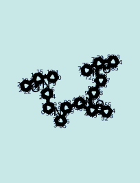 c1cc(-c2ccc(-n3c4ccccc4c4ccc5c6ccccc6oc5c43)cc2)cc(-n2c3ccccc3c3cc(-c4ccc5c(c4)c4ccc6c7ccccc7oc6c4n5-c4ccc(-c5cccc(-n6c7ccccc7c7ccc8c9ccccc9oc8c76)c5)cc4)ccc32)c1